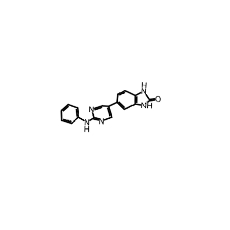 O=c1[nH]c2ccc(-c3cnc(Nc4ccccc4)nc3)cc2[nH]1